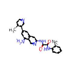 Cc1ccncc1-c1cc(N)c2cnc(NC(=O)C(=O)Nc3ccccc3C#N)cc2c1